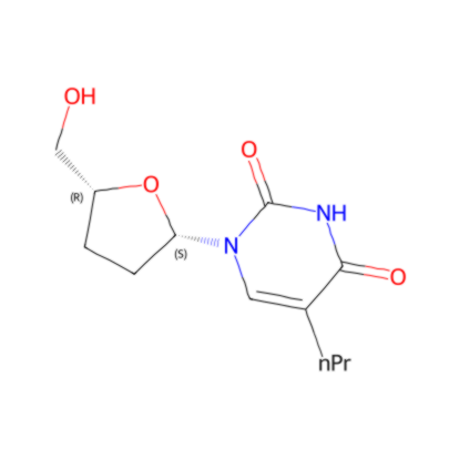 CCCc1cn([C@@H]2CC[C@H](CO)O2)c(=O)[nH]c1=O